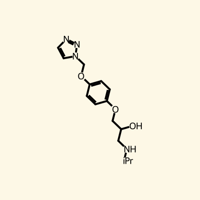 CC(C)NCC(O)COc1ccc(OCn2ccnn2)cc1